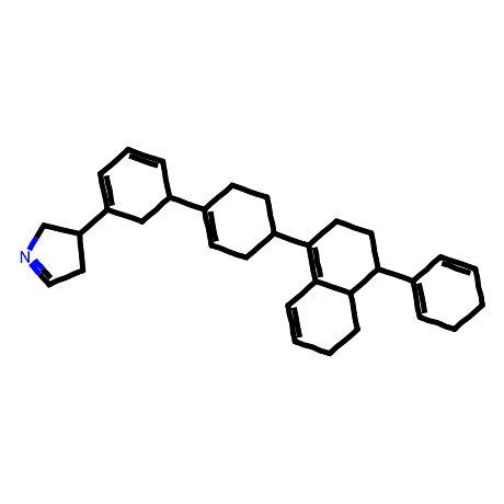 C1=CC(C2=CCC(C3=C4C=CCCC4C(C4=CCCC=C4)CC3)CC2)CC(C2CC=NC2)=C1